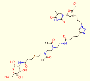 CCC(=O)N(CCNC(=O)CCCc1cn(CCC[C@@H]2C[C@H](n3cc(C)c(=O)[nH]c3=O)O[C@@H]2CO)nn1)CCN(CCSCCC(=O)NC1C(O)OC(CO)[C@@H](O)[C@H]1O)C(=O)CC